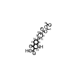 CC(=O)OC(C)OC(=O)N1CCN(c2ccc3c(=O)c(C(=O)O)c[nH]c3c2)CC1